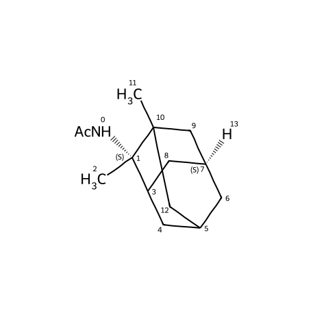 CC(=O)N[C@@]1(C)C2CC3C[C@@H](C2)CC1(C)C3